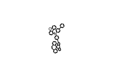 C1=Cc2ccccc2C2(c3ccccc31)c1ccccc1-c1ccc(-c3ccc(N(c4ccc(-c5ccccc5)cc4)c4cccc5oc6ccccc6c45)cc3)cc12